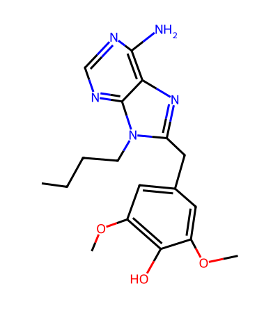 CCCCn1c(Cc2cc(OC)c(O)c(OC)c2)nc2c(N)ncnc21